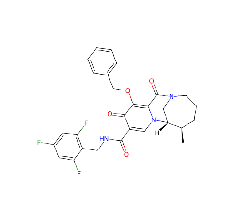 C[C@@H]1CCCN2C[C@H]1n1cc(C(=O)NCc3c(F)cc(F)cc3F)c(=O)c(OCc3ccccc3)c1C2=O